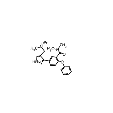 CCCN(C)Cc1c[nH]nc1-c1ccc(Oc2ccccc2)c(C(=O)N(C)C)c1